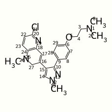 CN(C)CCOc1ccc(-c2nn(C)cc2C2=Cc3nc(Cl)ccc3N(C)C2)cc1